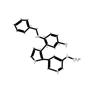 O=C(O)Oc1cncc(-c2sccc2-c2cc(Cl)ccc2OCc2ccccc2)c1